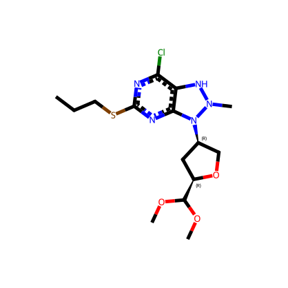 CCCSc1nc(Cl)c2c(n1)N([C@H]1CO[C@@H](C(OC)OC)C1)N(C)N2